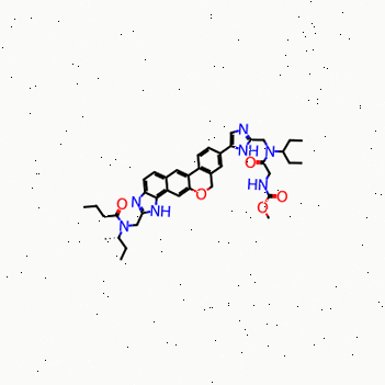 CCCC(=O)N(Cc1nc2ccc3cc4c(cc3c2[nH]1)OCc1cc(-c2cnc(CN(C(=O)CNC(=O)OC)C(CC)CC)[nH]2)ccc1-4)[C@@H](C)CC